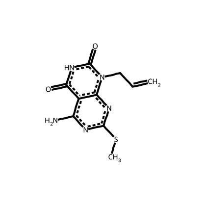 C=CCn1c(=O)[nH]c(=O)c2c(N)nc(SC)nc21